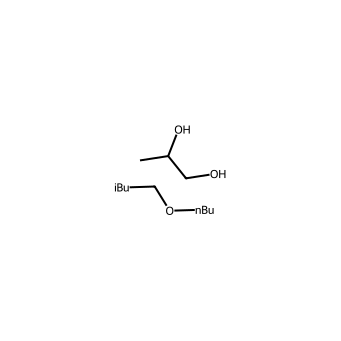 CC(O)CO.CCCCOCC(C)CC